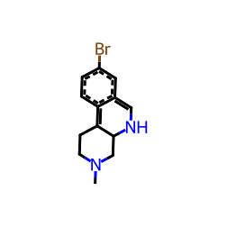 CN1CCC2=c3ccc(Br)cc3=CNC2C1